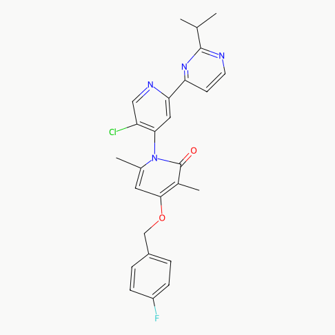 Cc1c(OCc2ccc(F)cc2)cc(C)n(-c2cc(-c3ccnc(C(C)C)n3)ncc2Cl)c1=O